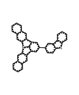 c1ccc2cc3c(cc2c1)c1cc(-c2ccc4sc5ccccc5c4c2)cc2c4cc5ccccc5cc4n3c12